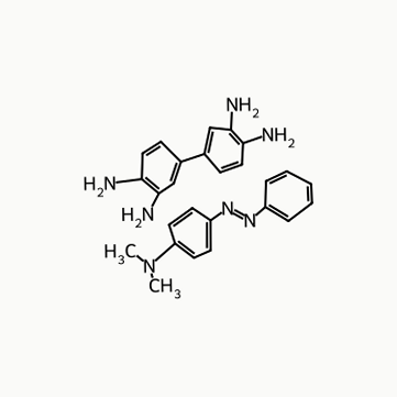 CN(C)c1ccc(N=Nc2ccccc2)cc1.Nc1ccc(-c2ccc(N)c(N)c2)cc1N